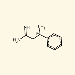 C[C@@H](CC(=N)N)c1ccccc1